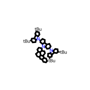 CC(C)(C)c1ccc2c(c1)c1cc(C(C)(C)C)ccc1n2-c1ccc2c3ccc(-n4c5ccc(C(C)(C)C)cc5c5cc(C(C)(C)C)ccc54)cc3n(-c3ccc4ccc5cc6ccccc6c6ccc3c4c56)c2c1